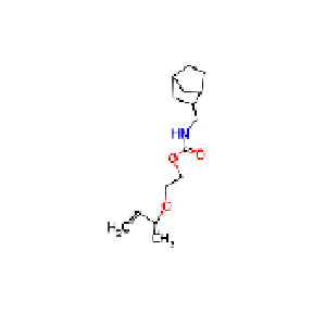 C=CC(=C)OCCOC(=O)NCC1CC2CCC1C2